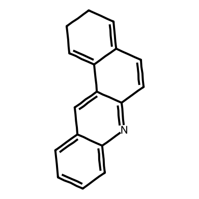 C1=c2ccc3nc4ccccc4cc3c2=CCC1